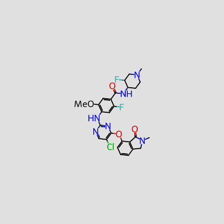 COc1cc(C(=O)N[C@@H]2CCN(C)C[C@@H]2F)c(F)cc1Nc1ncc(Cl)c(Oc2cccc3c2C(=O)N(C)C3)n1